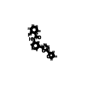 O=C(Nc1cncc(-c2nnc(-c3ccco3)o2)c1)c1ccccc1F